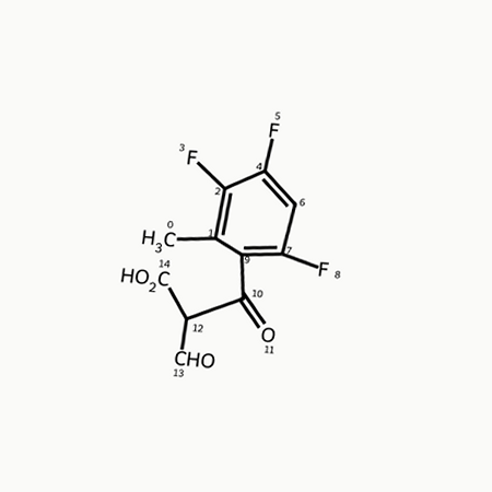 Cc1c(F)c(F)cc(F)c1C(=O)C(C=O)C(=O)O